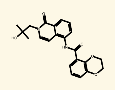 CC(C)(O)Cn1ccc2c(NC(=O)c3cccc4c3OCCO4)cccc2c1=O